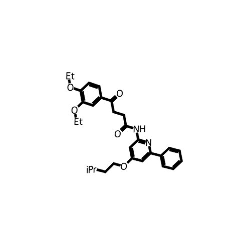 CCOc1ccc(C(=O)CCC(=O)Nc2cc(OCCC(C)C)cc(-c3ccccc3)n2)cc1OCC